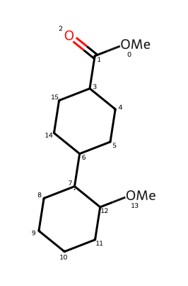 COC(=O)C1CCC([C]2CCCCC2OC)CC1